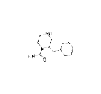 NC(=O)N1CCNCC1CC1CCCCC1